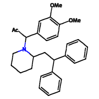 COc1ccc(C(C(C)=O)N2CCCCC2CC(c2ccccc2)c2ccccc2)cc1OC